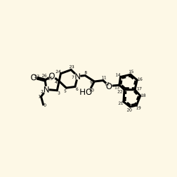 CCN1CC2(CCN(CC(O)COc3cccc4ccccc34)CC2)OC1=O